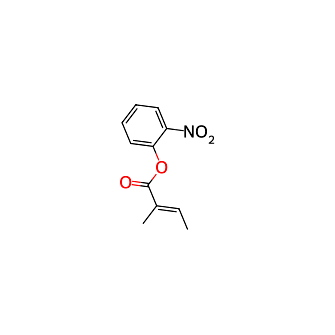 CC=C(C)C(=O)Oc1ccccc1[N+](=O)[O-]